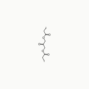 O=C(COC(=O)CI)COC(=O)CI